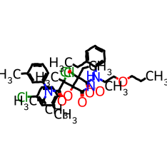 CCCOCCN(C(=O)C(Cl)(CC)C(Oc1ccc(Cl)cc1C)(C(=O)NOC)C(C)(Cl)C(=O)N(c1cccc(C)c1)C(C)C)c1ccccc1CC